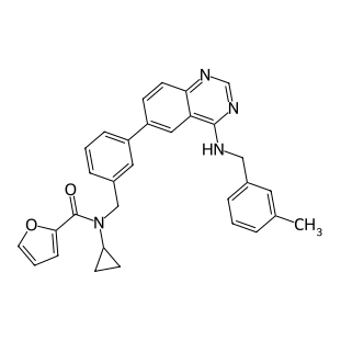 Cc1cccc(CNc2ncnc3ccc(-c4cccc(CN(C(=O)c5ccco5)C5CC5)c4)cc23)c1